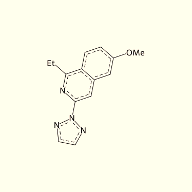 CCc1nc(-n2nccn2)cc2cc(OC)ccc12